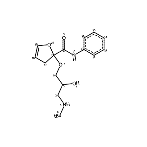 CC(C)(C)NCC(O)COC1(C(=O)Nc2ccccc2)CC=CO1